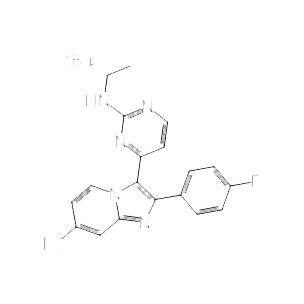 CCc1ccn2c(-c3ccnc(N[C@@H](C)C(C)(C)C)n3)c(-c3ccc(F)cc3)nc2c1